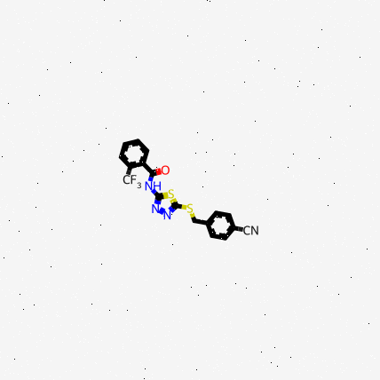 N#Cc1ccc(CSc2nnc(NC(=O)c3ccccc3C(F)(F)F)s2)cc1